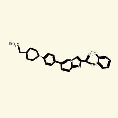 CCOC(=O)C[C@H]1CC[C@H](c2ccc(-c3ccc4nc(C(=O)Nc5ccccc5C(F)(F)F)cn4c3)cc2)CC1